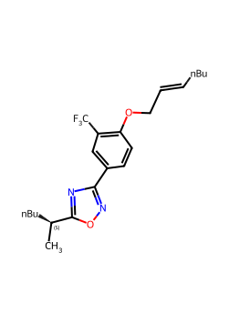 CCCCC=CCOc1ccc(-c2noc([C@@H](C)CCCC)n2)cc1C(F)(F)F